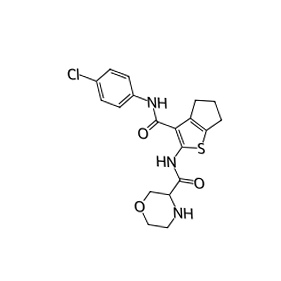 O=C(Nc1ccc(Cl)cc1)c1c(NC(=O)C2COCCN2)sc2c1CCC2